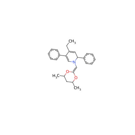 CCC1=CC(c2ccccc2)N(C=C2OC(C)CC(C)O2)C=C1c1ccccc1